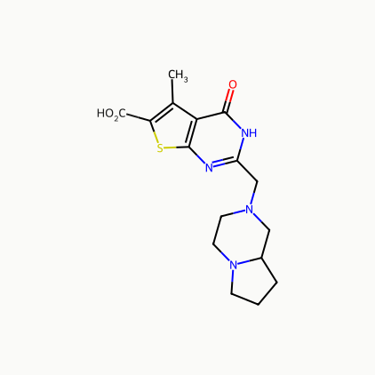 Cc1c(C(=O)O)sc2nc(CN3CCN4CCCC4C3)[nH]c(=O)c12